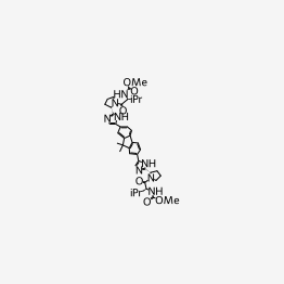 COC(=O)N[C@H](C(=O)N1CCC[C@H]1c1ncc(-c2ccc3c(c2)C(C)(C)c2cc(-c4cnc([C@@H]5CCCN5C(=O)[C@@H](NC(=O)OC)C(C)C)[nH]4)ccc2-3)[nH]1)C(C)C